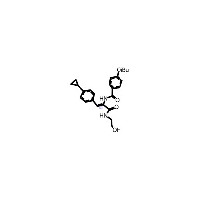 CC(C)COc1ccc(C(=O)N/C(=C\c2ccc(C3CC3)cc2)C(=O)NCCO)cc1